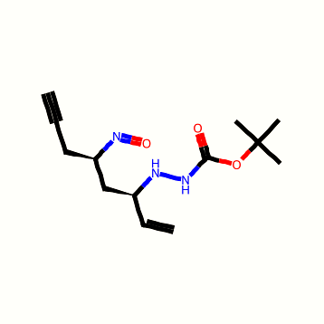 C#CC[C@H](C[C@H](C=C)NNC(=O)OC(C)(C)C)N=O